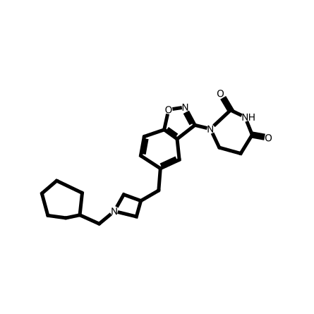 O=C1CCN(c2noc3ccc(CC4CN(CC5CCCCC5)C4)cc23)C(=O)N1